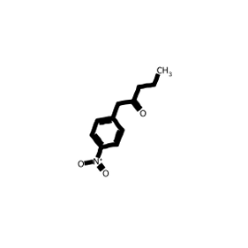 CCCC(=O)Cc1ccc([N+](=O)[O-])cc1